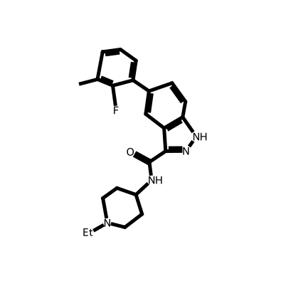 CCN1CCC(NC(=O)c2n[nH]c3ccc(-c4cccc(C)c4F)cc23)CC1